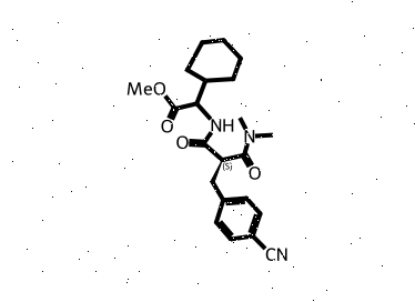 COC(=O)C(NC(=O)[C@H](Cc1ccc(C#N)cc1)C(=O)N(C)C)C1CCCCC1